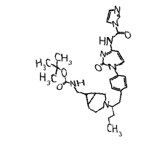 CCCC(Cc1ccc(-n2ccc(NC(=O)n3ccnc3)nc2=O)cc1)N1CC2C(CNC(=O)OC(C)(C)C)C2C1